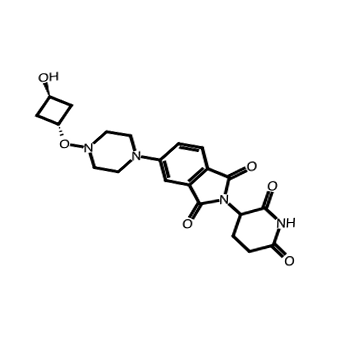 O=C1CCC(N2C(=O)c3ccc(N4CCN(O[C@H]5C[C@H](O)C5)CC4)cc3C2=O)C(=O)N1